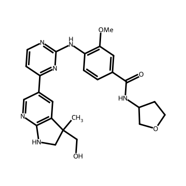 COc1cc(C(=O)NC2CCOC2)ccc1Nc1nccc(-c2cnc3c(c2)C(C)(CO)CN3)n1